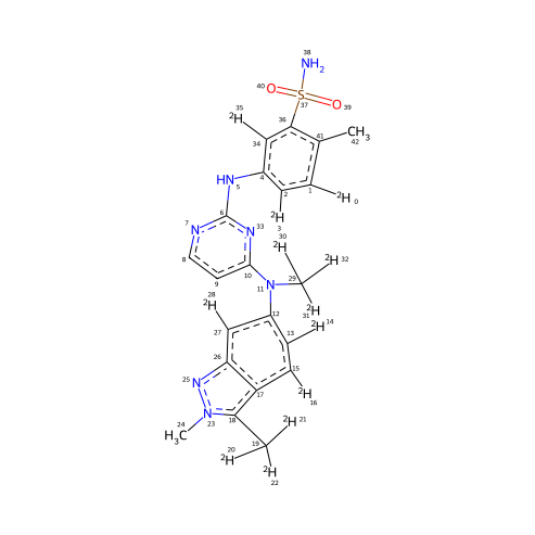 [2H]c1c([2H])c(Nc2nccc(N(c3c([2H])c([2H])c4c(C([2H])([2H])[2H])n(C)nc4c3[2H])C([2H])([2H])[2H])n2)c([2H])c(S(N)(=O)=O)c1C